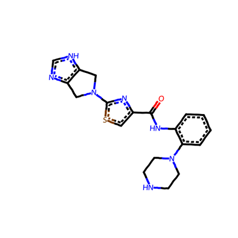 O=C(Nc1ccccc1N1CCNCC1)c1csc(N2Cc3nc[nH]c3C2)n1